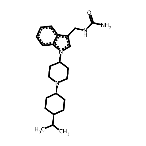 CC(C)[C@H]1CC[C@@H](N2CCC(n3cc(CNC(N)=O)c4ccccc43)CC2)CC1